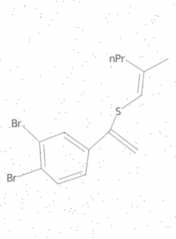 C=C(S/C=C(/C)CCC)c1ccc(Br)c(Br)c1